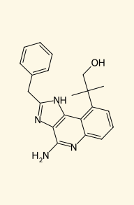 CC(C)(CO)c1cccc2nc(N)c3nc(Cc4ccccc4)[nH]c3c12